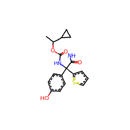 CC(OC(=O)NC(C([NH])=O)(c1ccc(O)cc1)c1cccs1)C1CC1